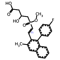 COP(=O)(/C=C/c1c(C)cc2ccccc2c1-c1ccc(F)cc1)CC(O)CC(=O)O